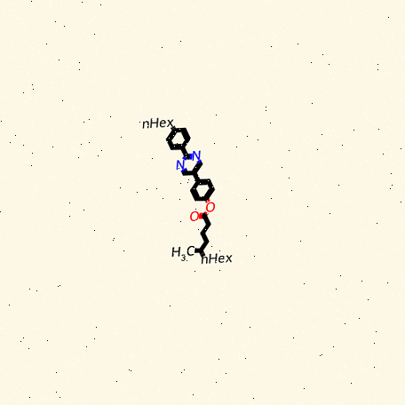 CCCCCCc1ccc(-c2ncc(-c3ccc(OC(=O)CCCC(C)CCCCCC)cc3)cn2)cc1